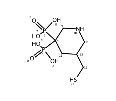 O=P(O)(O)C1(P(=O)(O)O)CNCC(CS)C1